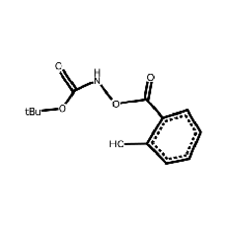 CC(C)(C)OC(=O)NOC(=O)c1ccccc1O